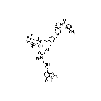 CCN(CCNCCc1ccc(O)c2[nH]c(=O)sc12)C(=O)CCOCCc1cc(CN2CCC3(CC2)CN(C(=O)c2csc(C)n2)CCO3)ccc1Cl.O=C(O)C(F)(F)F.O=C(O)C(F)(F)F